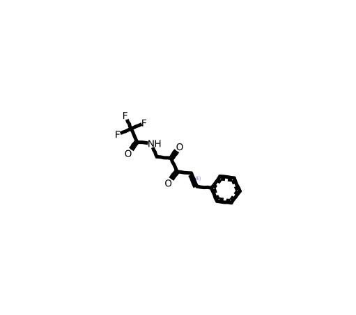 O=C(/C=C/c1ccccc1)C(=O)CNC(=O)C(F)(F)F